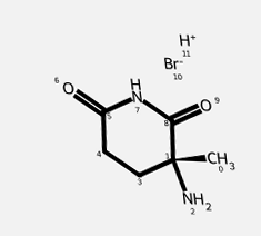 C[C@@]1(N)CCC(=O)NC1=O.[Br-].[H+]